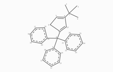 CC(C)(C)C1=CCC(C(c2ccccc2)(c2ccccc2)c2ccccc2)=C1